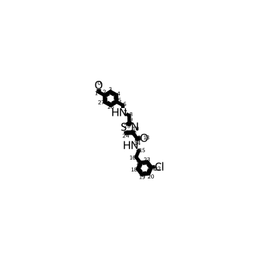 O=Cc1ccc(CNCc2nc(C(=O)NCCc3cccc(Cl)c3)cs2)cc1